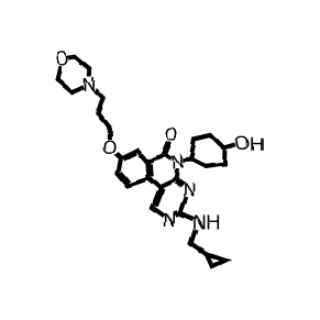 O=c1c2cc(OCCCN3CCOCC3)ccc2c2cnc(NCC3CC3)nc2n1C1CCC(O)CC1